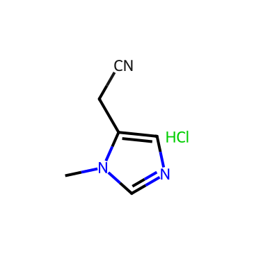 Cl.Cn1cncc1CC#N